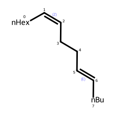 [CH2]CCCCC/C=C\CC/C=C/CCCC